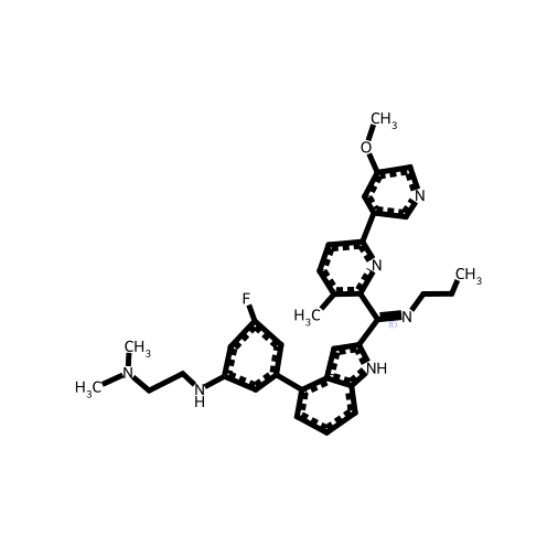 CCC/N=C(/c1cc2c(-c3cc(F)cc(NCCN(C)C)c3)cccc2[nH]1)c1nc(-c2cncc(OC)c2)ccc1C